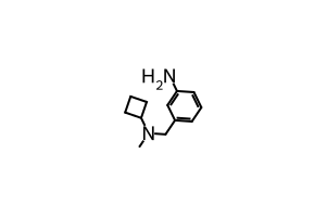 CN(Cc1cccc(N)c1)C1CCC1